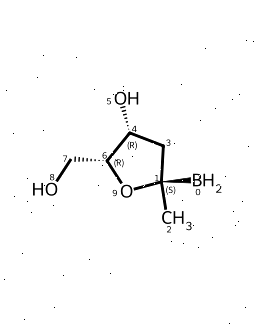 B[C@]1(C)C[C@@H](O)[C@@H](CO)O1